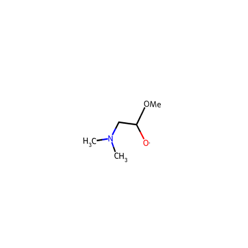 COC([O])CN(C)C